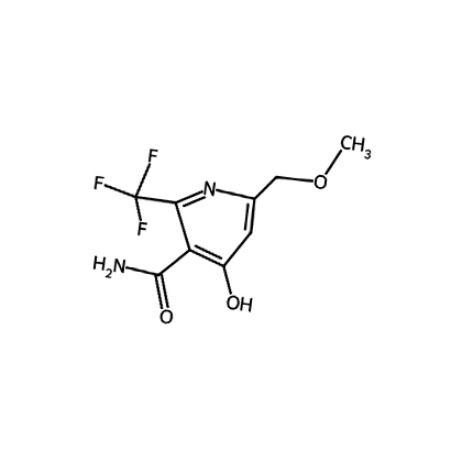 COCc1cc(O)c(C(N)=O)c(C(F)(F)F)n1